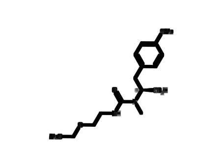 COCOCCNC(=O)N(C)[C@@H](Cc1ccc(OC)cc1)C(=O)O